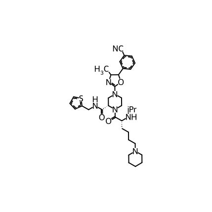 CC(C)N[C@H](CCCCN1CCCCC1)C(=O)N1CCN(C2=NC(C)C(c3cccc(C#N)c3)O2)C[C@H]1C(=O)NCc1cccs1